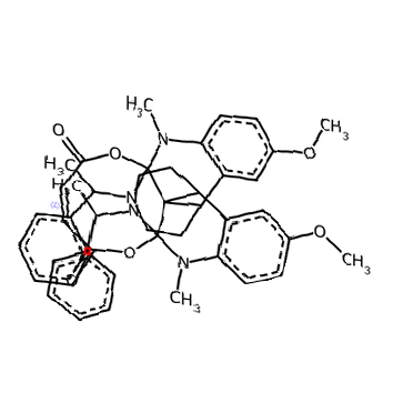 COc1ccc2c(c1)C1CCN(C(C)c3ccccc3)C3(OC(=O)/C=C\C(=O)OC45N(C)c6ccc(OC)cc6C(CCN4C(C)c4ccccc4)C135)N2C